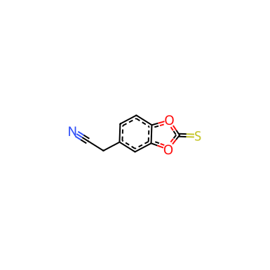 N#CCc1ccc2oc(=S)oc2c1